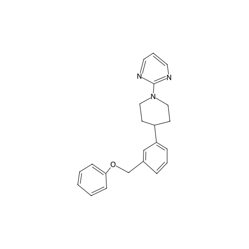 c1ccc(OCc2cccc(C3CCN(c4ncccn4)CC3)c2)cc1